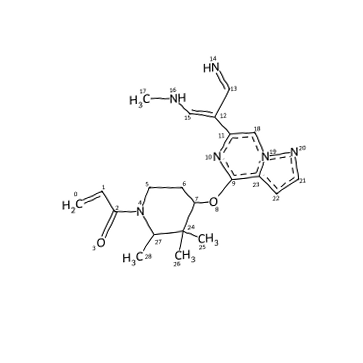 C=CC(=O)N1CCC(Oc2nc(/C(C=N)=C/NC)cn3nccc23)C(C)(C)C1C